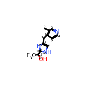 Cc1cnccc1Cc1c[nH]c(C(O)C(F)(F)F)n1